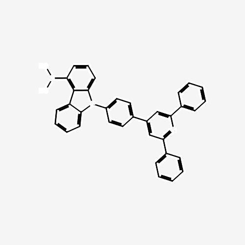 OB(O)c1cccc2c1c1ccccc1n2-c1ccc(-c2cc(-c3ccccc3)nc(-c3ccccc3)c2)cc1